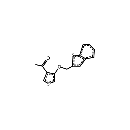 CC(=O)c1cscc1OCc1cc2ccccc2s1